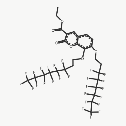 CCOC(=O)c1cc2ccc(OCCC(F)(F)C(F)(F)C(F)(F)C(F)(F)C(F)(F)C(F)(F)F)c(OCCC(F)(F)C(F)(F)C(F)(F)C(F)(F)C(F)(F)C(F)(F)F)c2oc1=O